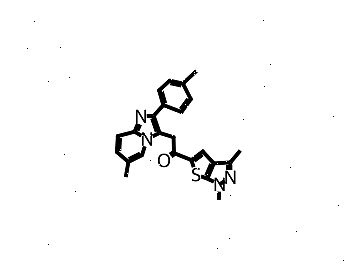 Cc1ccc(-c2nc3ccc(C)cn3c2CC(=O)c2cc3c(C)nn(C)c3s2)cc1